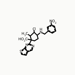 CC1C(Cl)C(NCc2cccc([N+](=O)[O-])c2)CCC1(C(=O)O)c1ncc2ccsc2n1